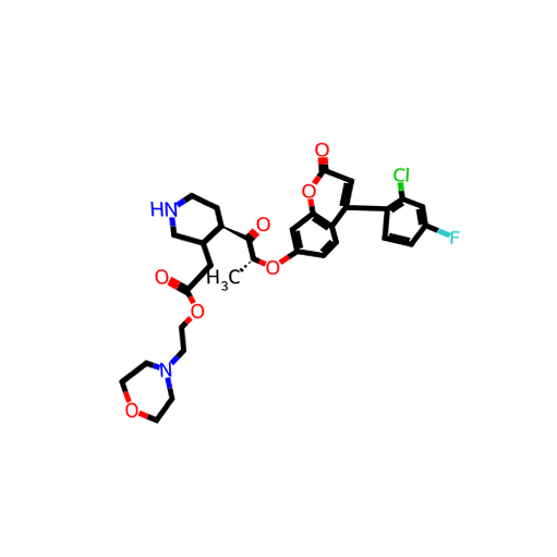 C[C@@H](Oc1ccc2c(-c3ccc(F)cc3Cl)cc(=O)oc2c1)C(=O)[C@@H]1CCNCC1CC(=O)OCCN1CCOCC1